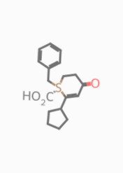 O=C1C=C(C2CCCC2)S(Cc2ccccc2)(C(=O)O)CC1